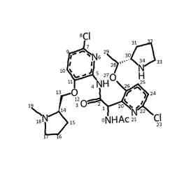 CC(=O)NC(C(=O)Nc1nc(Cl)ccc1OC[C@H]1CCCN1C)c1nc(Cl)ccc1OC(C)[C@@H]1CCCN1